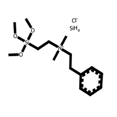 CO[Si](CC[N+](C)(C)CCc1ccccc1)(OC)OC.[Cl-].[SiH4]